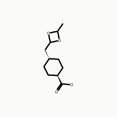 CC1OC(C[C@H]2CC[C@H](C(=O)Cl)CC2)O1